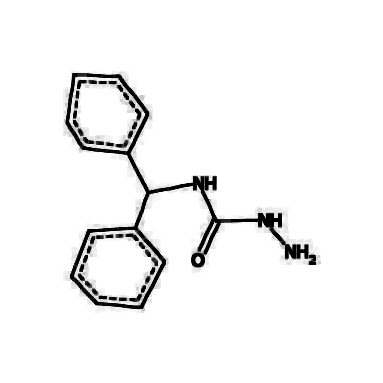 NNC(=O)NC(c1ccccc1)c1ccccc1